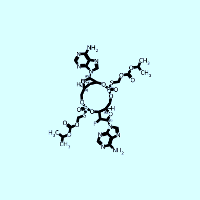 CC(C)OC(=O)OCSP1(=O)OC[C@H]2O[C@@H](n3cnc4c(N)ncnc43)C(F)C2OP(=O)(SCOC(=O)OC(C)C)OC[C@H]2O[C@@H](n3cnc4c(N)ncnc43)C(O1)C2O